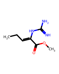 CCC=C(NC(=N)N)C(=O)OC